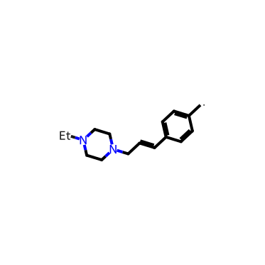 [CH2]c1ccc(C=CCN2CCN(CC)CC2)cc1